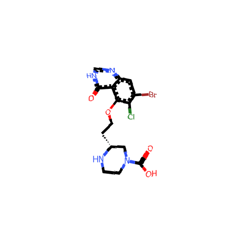 O=C(O)N1CCN[C@H](CCOc2c(Cl)c(Br)cc3nc[nH]c(=O)c23)C1